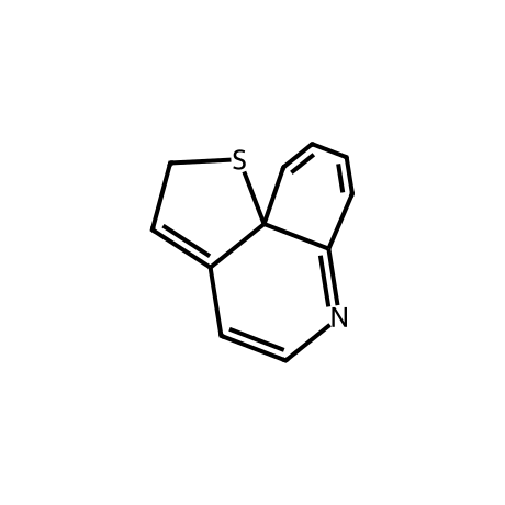 C1=CC2=NC=CC3=CCSC32C=C1